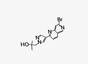 CC(C)(O)Cn1cc(-c2ccc3cnc(Br)cc3n2)cn1